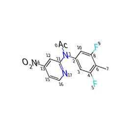 CC(=O)N(c1cc(F)c(C)c(F)c1)c1cc([N+](=O)[O-])ccn1